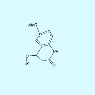 COc1ccc2c(c1)C(OC(C)C)CC(=O)N2